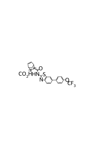 O=C(Nc1nc2ccc(-c3ccc(OC(F)(F)F)cc3)cc2s1)[C@@H]1C2C=CC(C2)[C@@H]1C(=O)O